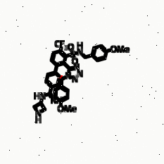 COc1ccc(CNS(=O)(=O)c2c(C(F)(F)F)ccc(-c3ccc(C(=N)NC4CNC4)cc3)c2-c2nnnn2Cc2ccc(OC)cc2)cc1